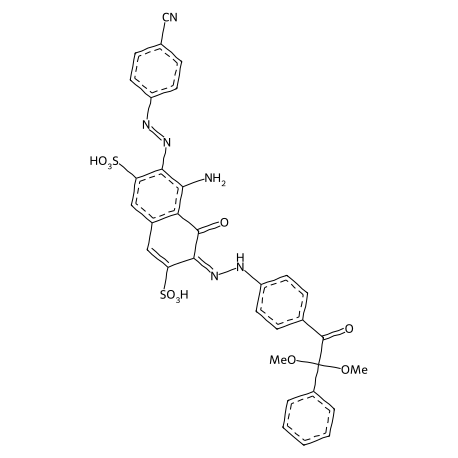 COC(OC)(C(=O)c1ccc(N/N=C2\C(=O)c3c(cc(S(=O)(=O)O)c(/N=N/c4ccc(C#N)cc4)c3N)C=C2S(=O)(=O)O)cc1)c1ccccc1